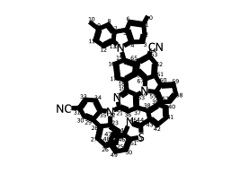 Cc1ccc2c(c1)c1cc(C)ccc1n2-c1ccc(-c2nc(-n3c4ccccc4c4cc(C#N)ccc43)cc(-c3ccccc3-c3nc4ccccc4s3)c2-n2c3ccccc3c3cc(C#N)ccc32)cc1